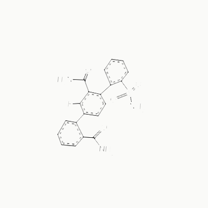 NC(=O)c1ccccc1-c1ccc(-c2ccccc2S(N)(=O)=O)c(C(N)=O)c1F